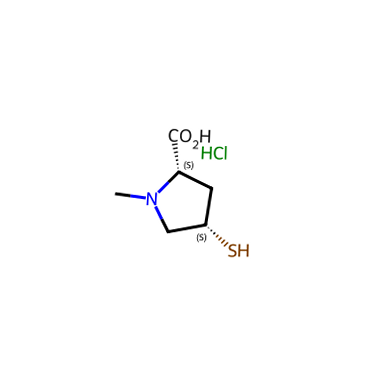 CN1C[C@@H](S)C[C@H]1C(=O)O.Cl